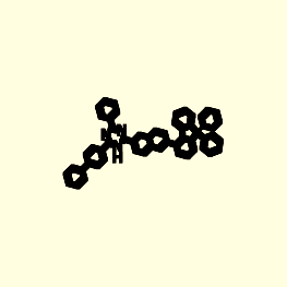 C1=CCC([C@@]2(c3ccccc3)c3ccccc3-c3c(C4=CC5=CC=C(C6N=C(c7ccccc7)N=C(c7ccc(-c8ccccc8)cc7)N6)CC5C=C4)cccc32)C=C1